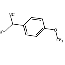 [C-]#[N+]C(c1ccc(OC(F)(F)F)cc1)C(C)C